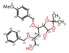 COc1ccc(COC2C3OC(C)(C)OC3O[C@@H]2[C@@H](CO)OCc2ccccc2)cc1